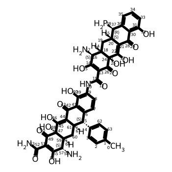 Cc1ccc([C@H]2c3ccc(NC(=O)C4=C(O)[C@@H](N)[C@@H]5C[C@H]6C(=C(O)[C@]5(O)C4=O)C(=O)c4c(O)cccc4[C@@H]6P)c(O)c3C(=O)C3=C(O)[C@]4(O)C(=O)C(C(N)=O)=C(O)[C@@H](N)[C@@H]4C[C@@H]32)cc1